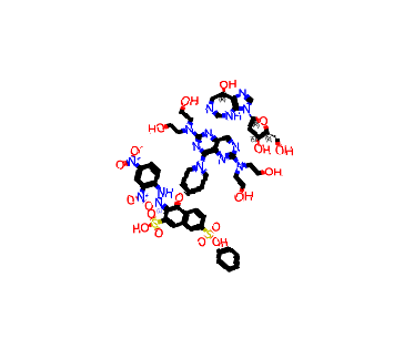 O=C1/C(=N\Nc2ccc([N+](=O)[O-])cc2[N+](=O)[O-])C(S(=O)(=O)O)=Cc2cc(S(=O)(=O)O)ccc21.OCCN(CCO)c1nc(N2CCCCC2)c2nc(N(CCO)CCO)ncc2n1.OC[C@H]1O[C@@H](n2cnc3c2NC=NC[C@H]3O)C[C@@H]1O.c1ccccc1